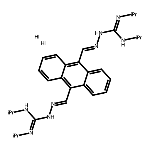 CC(C)N=C(NN=Cc1c2ccccc2c(C=NNC(=NC(C)C)NC(C)C)c2ccccc12)NC(C)C.I.I